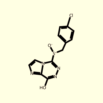 [O-][S+](Cc1ccc(Cl)cc1)c1nnc(O)c2nccn12